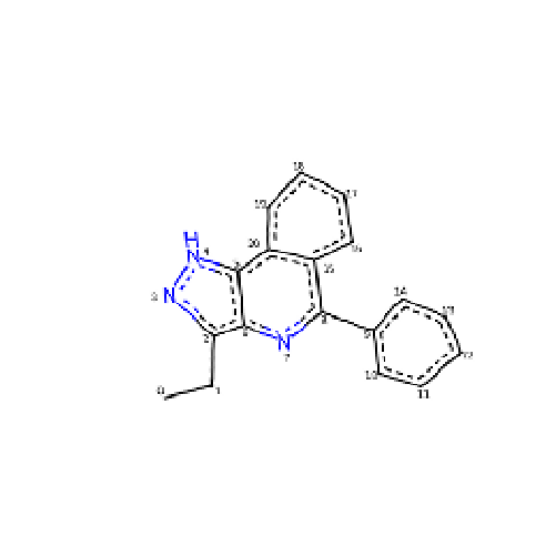 CCc1n[nH]c2c1nc(-c1ccccc1)c1ccccc12